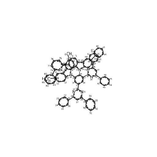 Cc1ccc2c(c1)c1cc(C)ccc1n2-c1cc(-c2nc(-c3ccccc3)cc(-c3ccccc3)n2)cc(-c2nc(-c3ccccc3)cc(-c3ccccc3)n2)c1-n1c2ccc(-c3ccccc3)cc2c2ccc(-c3cccc(-c4ccccc4)n3)cc21